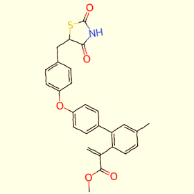 C=C(C(=O)OC)c1ccc(C)cc1-c1ccc(Oc2ccc(CC3SC(=O)NC3=O)cc2)cc1